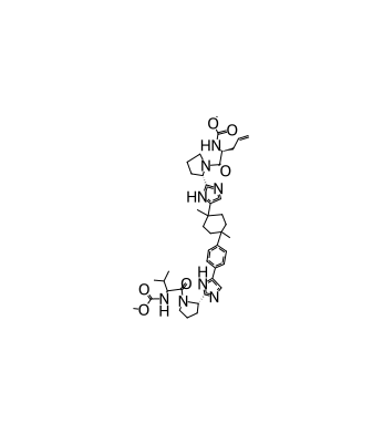 C=CC[C@H](NC(=O)OC)C(=O)N1CCC[C@H]1c1ncc(C2(C)CCC(C)(c3ccc(-c4cnc([C@@H]5CCCN5C(=O)[C@@H](NC(=O)OC)C(C)C)[nH]4)cc3)CC2)[nH]1